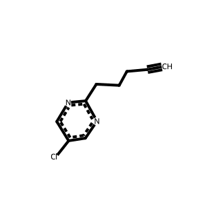 C#CCCCc1ncc(Cl)cn1